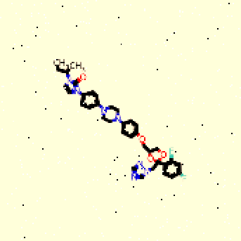 CCC(C)n1ccn(-c2ccc(N3CCN(c4ccc(OCC5COC(Cn6cncn6)(c6ccc(F)cc6F)O5)cc4)CC3)cc2)c1=O